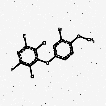 COc1ccc(Oc2c(Cl)c(F)nc(F)c2Cl)cc1Br